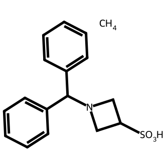 C.O=S(=O)(O)C1CN(C(c2ccccc2)c2ccccc2)C1